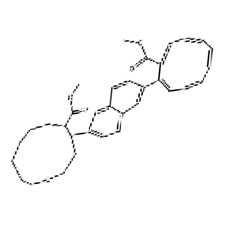 COC(=O)c1ccccccccc1-c1ccc2cc(C3CCCCCCCCCC3C(=O)OC)ccc2c1